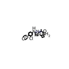 C=N/C(=N\C(NC1CCC1)=C(/C)C(N)=O)Nc1ccc(N2CCOCC2)c(Cl)c1